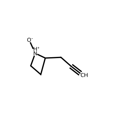 C#CCC1CC[NH+]1[O-]